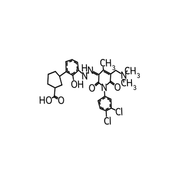 CC1=C(CN(C)C)C(=O)N(c2ccc(Cl)c(Cl)c2)C(=O)C1=NNc1cccc(C2CCCC(C(=O)O)C2)c1O